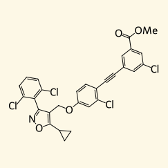 COC(=O)c1cc(Cl)cc(C#Cc2ccc(OCc3c(-c4c(Cl)cccc4Cl)noc3C3CC3)cc2Cl)c1